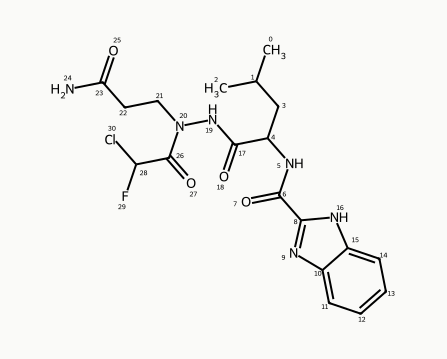 CC(C)CC(NC(=O)c1nc2ccccc2[nH]1)C(=O)NN(CCC(N)=O)C(=O)C(F)Cl